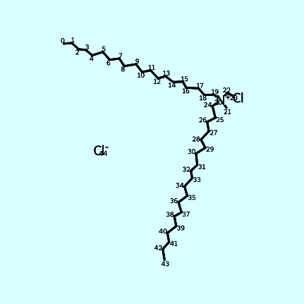 CCCCCCCCCCCCCCCCCCCC[N+](C)(CCl)CCCCCCCCCCCCCCCCCCCC.[Cl-]